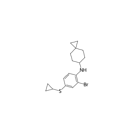 Brc1cc(SC2CC2)ccc1NC1CCC2(CC1)CC2